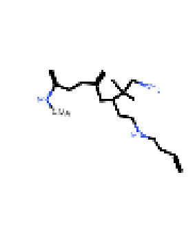 C=CCCNCCC(CC(=C)CCC(=C)NNC)C(C)(C)CN